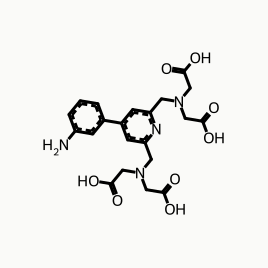 Nc1cccc(-c2cc(CN(CC(=O)O)CC(=O)O)nc(CN(CC(=O)O)CC(=O)O)c2)c1